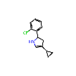 Clc1ccccc1C1CC(C2CC2)=CN1